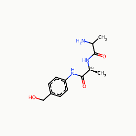 CC(N)C(=O)N[C@@H](C)C(=O)Nc1ccc(CO)cc1